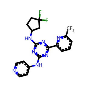 FC1(F)CCC(Nc2nc(Nc3ccncc3)nc(-c3cccc(C(F)(F)F)n3)n2)C1